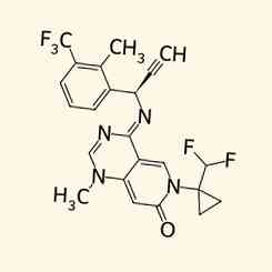 C#C[C@@H](/N=c1\ncn(C)c2cc(=O)n(C3(C(F)F)CC3)cc12)c1cccc(C(F)(F)F)c1C